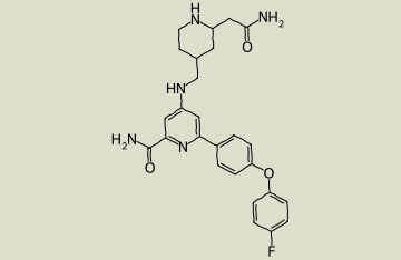 NC(=O)CC1CC(CNc2cc(C(N)=O)nc(-c3ccc(Oc4ccc(F)cc4)cc3)c2)CCN1